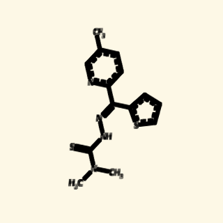 CN(C)C(=S)N/N=C(/c1ccc(C(F)(F)F)cn1)c1cccs1